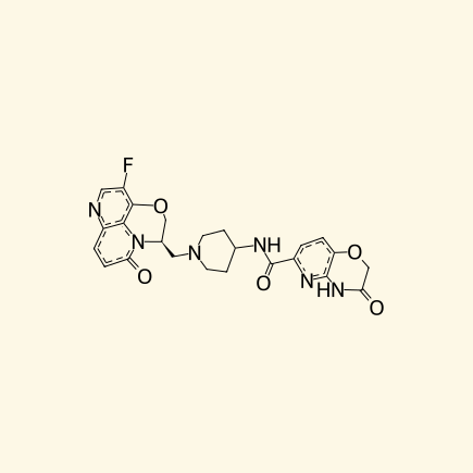 O=C1COc2ccc(C(=O)NC3CCN(C[C@@H]4COc5c(F)cnc6ccc(=O)n4c56)CC3)nc2N1